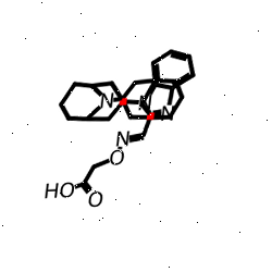 O=C(O)CO/N=C/c1nc2ccccc2n1C1CC2CCCC(C1)N2C1CC2CCCC(C2)C1